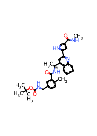 CNC(=O)c1c[nH]c(-c2cc([C@@H](C)NC(=O)c3cc(CNC(=O)OC(C)(C)C)ccc3C)c3ccccc3n2)c1